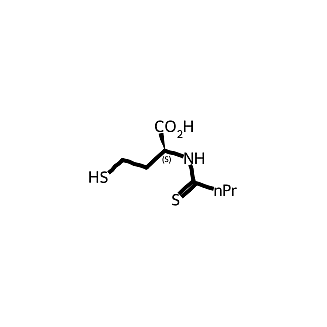 CCCC(=S)N[C@@H](CCS)C(=O)O